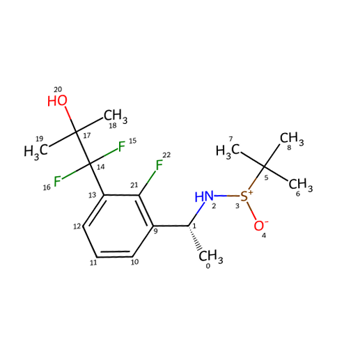 C[C@@H](N[S+]([O-])C(C)(C)C)c1cccc(C(F)(F)C(C)(C)O)c1F